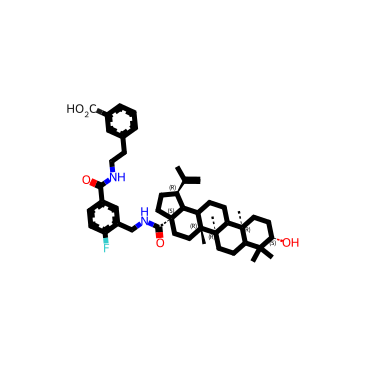 C=C(C)[C@@H]1CC[C@]2(C(=O)NCc3cc(C(=O)NCCc4cccc(C(=O)O)c4)ccc3F)CC[C@]3(C)C(CCC4[C@@]5(C)CC[C@H](O)C(C)(C)C5CC[C@]43C)C12